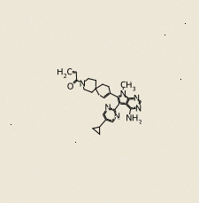 C=CC(=O)N1CCC2(CC=C(c3c(-c4ncc(C5CC5)cn4)c4c(N)ncnc4n3C)CC2)CC1